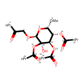 CCCC(=O)CO[C@H]1O[C@H](OC)[C@H](OC(=O)CCC)[C@@H](OC(=O)CCC)[C@@]1(O)OC(=O)CCC